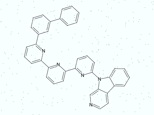 c1ccc(-c2cccc(-c3cccc(-c4cccc(-c5cccc(-n6c7ccccc7c7ccncc76)n5)n4)n3)c2)cc1